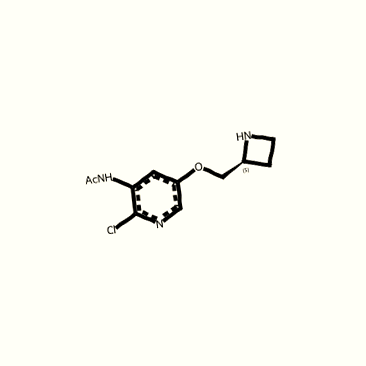 CC(=O)Nc1cc(OC[C@@H]2CCN2)cnc1Cl